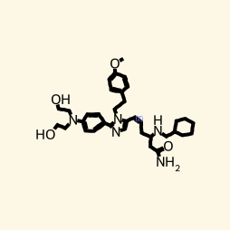 COc1ccc(CCn2c(/C=C\CC(CC(N)=O)NCC3CCCCC3)cnc2-c2ccc(N(CCO)CCO)cc2)cc1